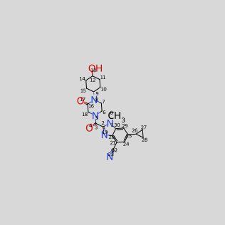 Cn1c(C(=O)N2CCN([C@H]3CC[C@H](O)CC3)C(=O)C2)nc2c(C#N)cc(C3CC3)cc21